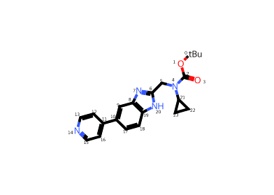 CC(C)(C)OC(=O)N(Cc1nc2cc(-c3ccncc3)ccc2[nH]1)C1CC1